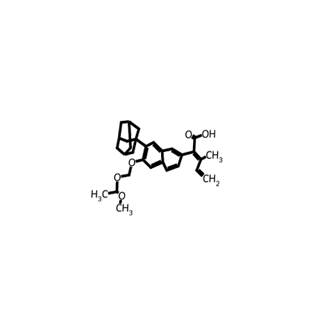 C=C/C(C)=C(/C(=O)O)c1ccc2cc(OCOC(C)OC)c(C34CC5CC(CC(C5)C3)C4)cc2c1